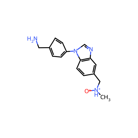 C[NH+]([O-])Cc1ccc2c(c1)ncn2-c1ccc(CN)cc1